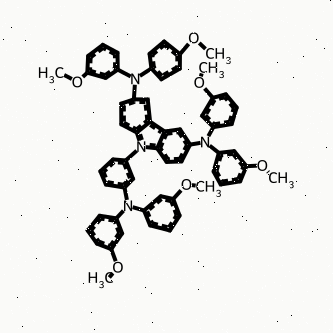 COc1ccc(N(c2cccc(OC)c2)c2ccc3c(c2)c2cc(N(c4cccc(OC)c4)c4cccc(OC)c4)ccc2n3-c2cccc(N(c3cccc(OC)c3)c3cccc(OC)c3)c2)cc1